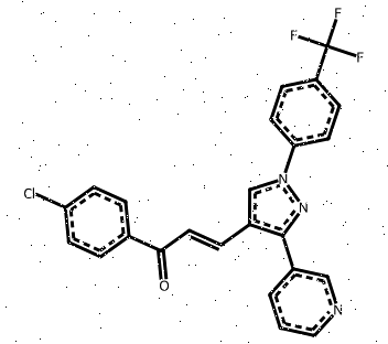 O=C(C=Cc1cn(-c2ccc(C(F)(F)F)cc2)nc1-c1cccnc1)c1ccc(Cl)cc1